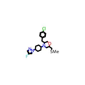 CSCC1CN(C2CCC(n3cc(F)cn3)CC2)C(Cc2ccc(Cl)cc2)CO1